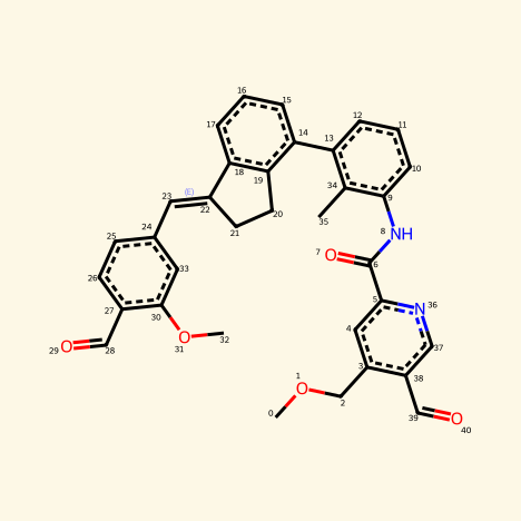 COCc1cc(C(=O)Nc2cccc(-c3cccc4c3CC/C4=C\c3ccc(C=O)c(OC)c3)c2C)ncc1C=O